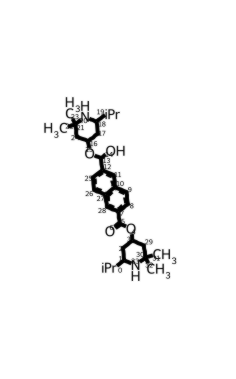 CC(C)C1CC(OC(=O)c2ccc3cc(C(O)OC4CC(C(C)C)NC(C)(C)C4)ccc3c2)CC(C)(C)N1